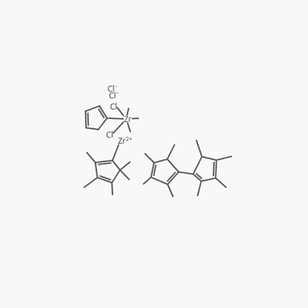 CC1=C(C)C(C)(C)[C]([Zr+2])=C1C.CC1=C(C)C(C)C(C2=C(C)C(C)=C(C)C2C)=C1C.[CH3][Zr]([CH3])([CH3])([Cl])([Cl])[C]1=CC=CC1.[Cl-].[Cl-]